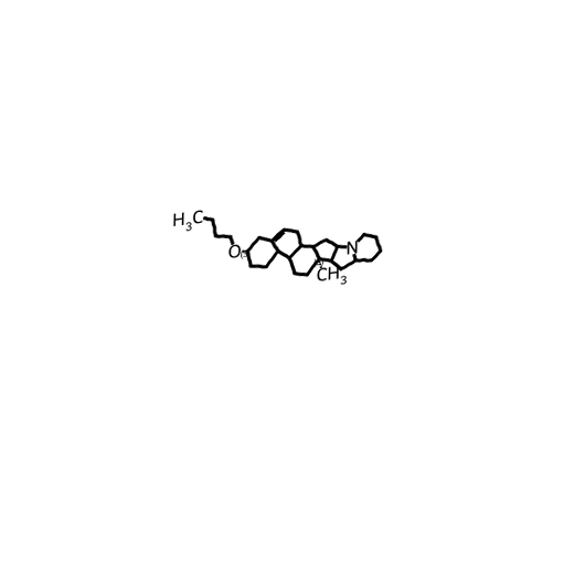 CCCCO[C@H]1CCC2C(=CCC3C2CC[C@@]2(C)C3CC3C2CC2CCCCN23)C1